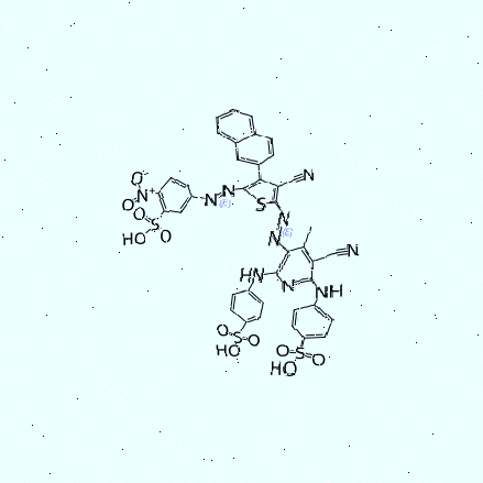 Cc1c(C#N)c(Nc2ccc(S(=O)(=O)O)cc2)nc(Nc2ccc(S(=O)(=O)O)cc2)c1/N=N/c1sc(/N=N/c2ccc([N+](=O)[O-])c(S(=O)(=O)O)c2)c(-c2ccc3ccccc3c2)c1C#N